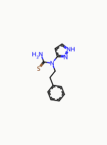 NC(=S)N(CCc1ccccc1)c1cc[nH]n1